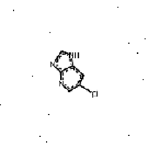 Clc1cnc2nc[nH]c2c1